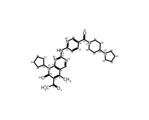 CC(=O)c1c(C)c2cnc(Nc3ccc(C(=O)N4CCC(N5CCCC5)CC4)cn3)nc2n(C2CCCC2)c1=O